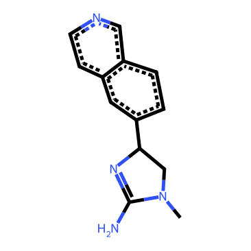 CN1CC(c2ccc3cnccc3c2)N=C1N